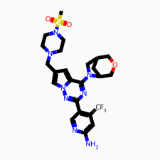 CS(=O)(=O)N1CCN(Cc2cc3c(N4CC5COCC4C5)nc(-c4cnc(N)cc4C(F)(F)F)nn3c2)CC1